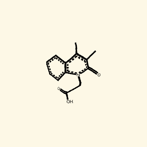 Cc1c(C)c2ccccc2n(CC(=O)O)c1=O